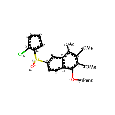 CCCCCOc1c(OC)c(OC)c(OC(C)=O)c2cc([S+]([O-])c3ccccc3Cl)ccc12